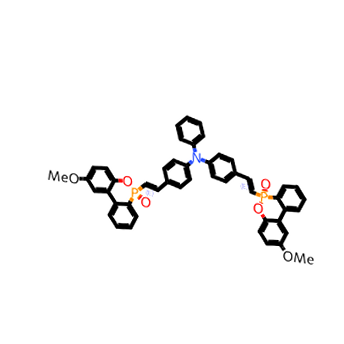 COc1ccc2c(c1)-c1ccccc1P(=O)(/C=C/c1ccc(N(c3ccccc3)c3ccc(/C=C/P4(=O)Oc5ccc(OC)cc5-c5ccccc54)cc3)cc1)O2